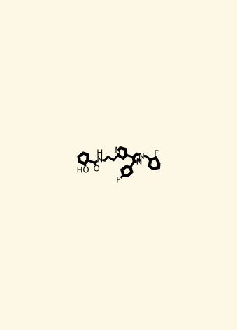 O=C(NCCCc1cc(-c2cn(Cc3ccccc3F)nc2-c2ccc(F)cc2)ccn1)c1ccccc1O